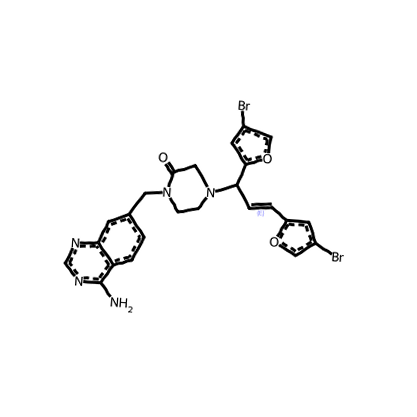 Nc1ncnc2cc(CN3CCN(C(/C=C/c4cc(Br)co4)c4cc(Br)co4)CC3=O)ccc12